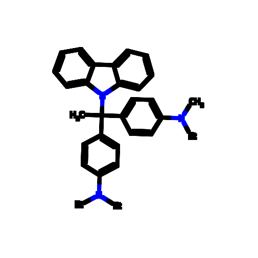 CCN(C)c1ccc(C(C)(c2ccc(N(CC)CC)cc2)n2c3ccccc3c3ccccc32)cc1